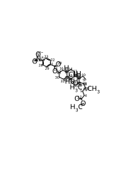 COC(=O)CC[C@@H](C)[C@H]1CC[C@H]2[C@@H]3CC[C@@H]4C[C@@H](OC(=O)c5ccc([N+](=O)[O-])cc5)CC[C@]4(C)[C@H]3CC[C@]12C